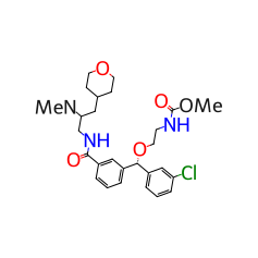 CNC(CNC(=O)c1cccc([C@H](OCCNC(=O)OC)c2cccc(Cl)c2)c1)CC1CCOCC1